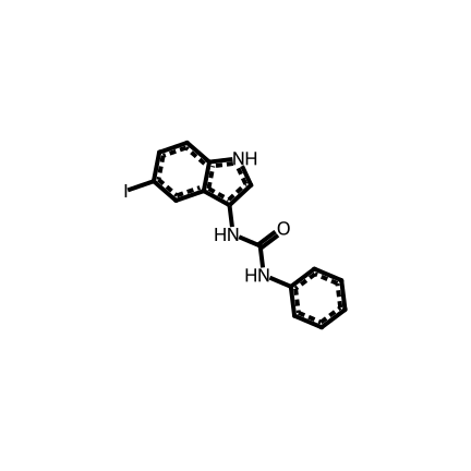 O=C(Nc1ccccc1)Nc1c[nH]c2ccc(I)cc12